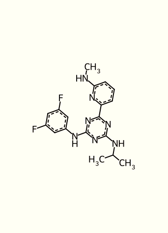 CNc1cccc(-c2nc(Nc3cc(F)cc(F)c3)nc(NC(C)C)n2)n1